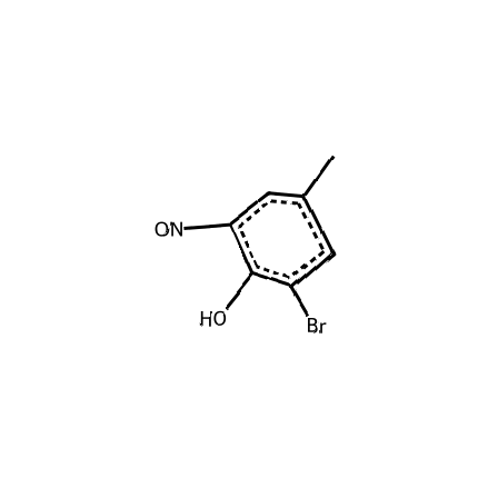 Cc1cc(Br)c(O)c(N=O)c1